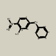 O=[N+]([O-])c1ccc(Oc2ccccc2)cc1F